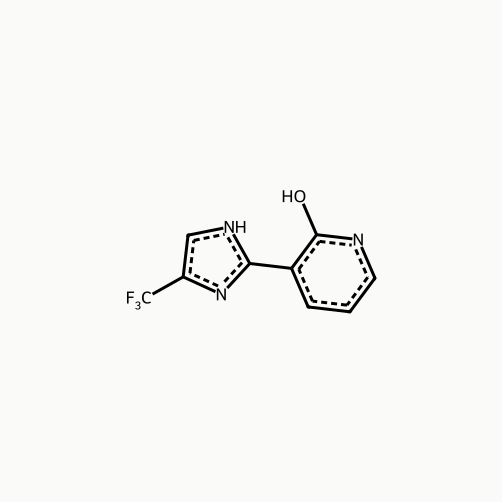 Oc1ncccc1-c1nc(C(F)(F)F)c[nH]1